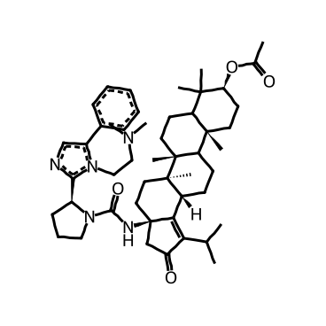 CC(=O)O[C@H]1CC[C@@]2(C)C(CC[C@]3(C)C2CC[C@@H]2C4=C(C(C)C)C(=O)C[C@]4(NC(=O)N4CCC[C@H]4c4ncc(-c5ccccc5)n4CCN(C)C)CC[C@]23C)C1(C)C